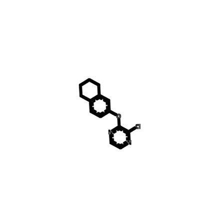 Clc1nccnc1Oc1ccc2c(c1)CCCC2